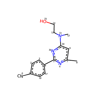 [C-]#[N+]c1ccc(-c2nc(C)cc(N(C)CCO)n2)cc1